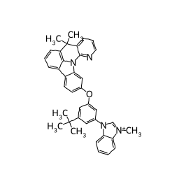 C[n+]1cn(-c2cc(Oc3ccc4c5cccc6c5n(c4c3)-c3ncccc3C6(C)C)cc(C(C)(C)C)c2)c2ccccc21